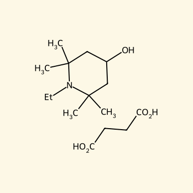 CCN1C(C)(C)CC(O)CC1(C)C.O=C(O)CCC(=O)O